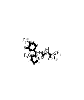 C[C@@H](NC(=O)N[C@@H](c1ccc(C(F)(F)F)c(F)c1)c1ncccc1C(F)(F)F)C(F)(F)F